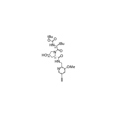 C#Cc1cnc(CNC(=O)[C@@H]2C[C@@H](O)CN2C(=O)[C@@H](NC(=O)OC(C)(C)C)C(C)(C)C)c(OC)c1